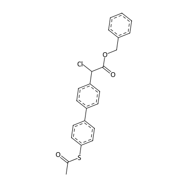 CC(=O)Sc1ccc(-c2ccc(C(Cl)C(=O)OCc3ccccc3)cc2)cc1